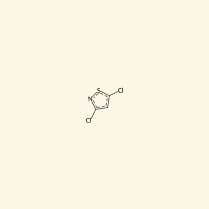 Clc1cc(Cl)sn1